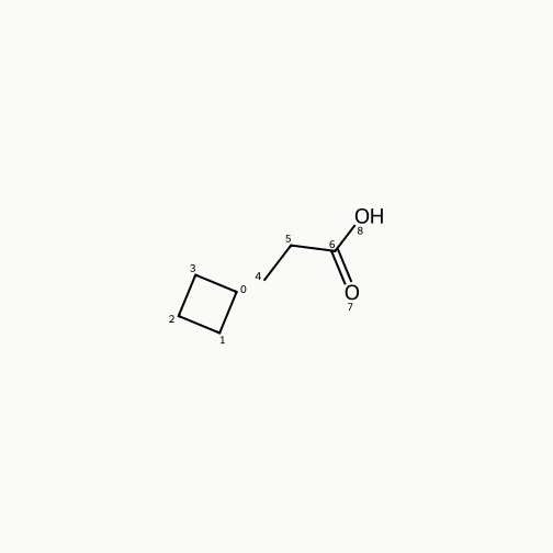 C1CCC1.CCC(=O)O